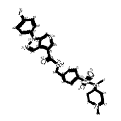 CN1CCC(N(C)S(=O)(=O)c2ccc(CNC(=O)c3cncc4c3cnn4-c3ccc(F)cc3)cc2)CC1